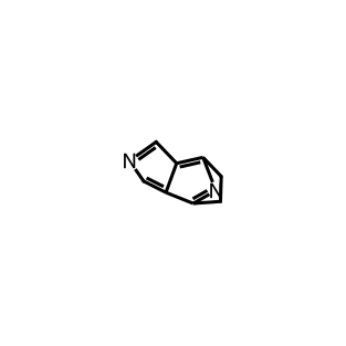 C1=NC=C2C3=NC(=C12)CC3